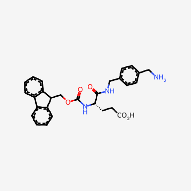 NCc1ccc(CNC(=O)[C@H](CCC(=O)O)NC(=O)OCC2c3ccccc3-c3ccccc32)cc1